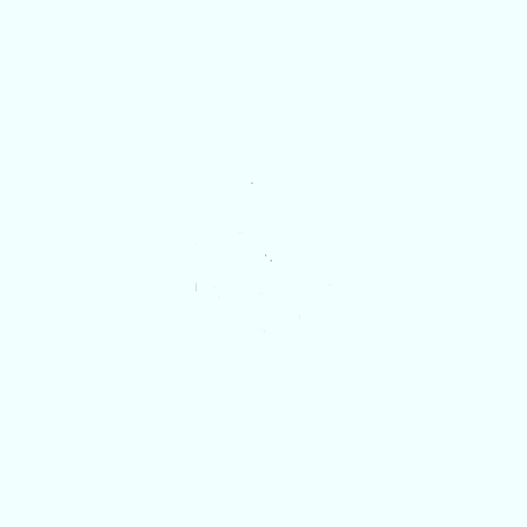 CC(C)(C)[C@@]1(C(=O)O)CCCN1C(=O)Cl